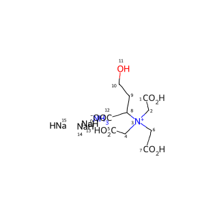 N.O=C(O)C[N+](CC(=O)O)(CC(=O)O)C(CCO)C(=O)[O-].[NaH].[NaH].[NaH]